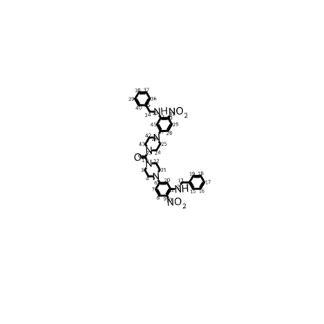 O=C(N1CCN(c2ccc([N+](=O)[O-])c(NCc3ccccc3)c2)CC1)N1CCN(c2ccc([N+](=O)[O-])c(NCc3ccccc3)c2)CC1